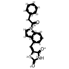 O=C1NC(=O)C(=Cc2cccc3c2ccn3C(=O)Cc2ccccc2)S1